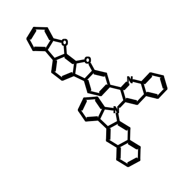 c1ccc2cc3c(cc2c1)c1ccccc1n3-c1cc2ccccc2nc1-c1ccc2c(c1)oc1c2ccc2c3ccccc3oc21